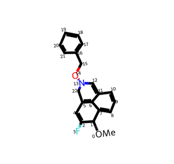 COC1C(F)=CC2=c3c1cccc3=CN(OCc1ccccc1)C2